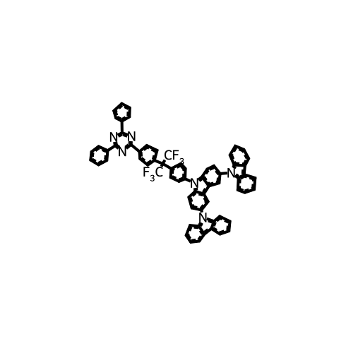 FC(F)(F)C(c1ccc(-c2nc(-c3ccccc3)nc(-c3ccccc3)n2)cc1)(c1ccc(-n2c3ccc(-n4c5ccccc5c5ccccc54)cc3c3cc(-n4c5ccccc5c5ccccc54)ccc32)cc1)C(F)(F)F